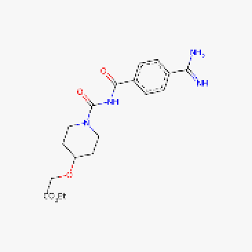 CCOC(=O)COC1CCN(C(=O)NC(=O)c2ccc(C(=N)N)cc2)CC1